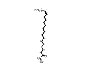 CCCCCCCC/C=C\CCCCCCCCCCCCCC(=O)NCC